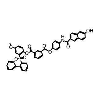 COc1ccc(OC(=O)c2cccc(C(=O)Oc3ccc(NC(=O)c4ccc5cc(O)ccc5c4)cc3)c2)c(P2(=O)Oc3ccccc3-c3ccccc32)c1